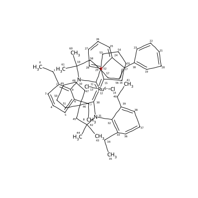 CCc1cccc(CC)c1N1[C](=[Ru-6]([Cl])([Cl])(=[C]2C=C(c3ccccc3)c3ccccc32)=[C]2N(c3c(CC)cccc3CC)C(C)(C)CC23CCCCC3)C2(CCCCC2)CC1(C)C